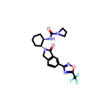 O=C(N[C@@H]1CCCC[C@H]1N1Cc2ccc(-c3noc(C(F)(F)F)n3)cc2C1=O)N1CCC1